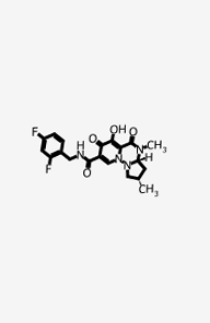 C[C@H]1C[C@H]2N(C)C(=O)c3c(O)c(=O)c(C(=O)NCc4ccc(F)cc4F)cn3N2C1